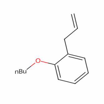 C=CCc1ccccc1OCCCC